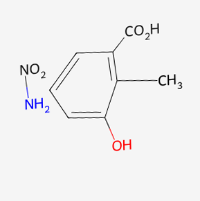 Cc1c(O)cccc1C(=O)O.N[N+](=O)[O-]